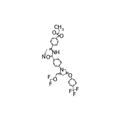 CCS(=O)(=O)c1ccc([C@@H](CC#N)NC(=O)c2ccc(N3C[C@H](Oc4ccc(C(F)(F)F)cc4)C[C@H]3COC(F)F)cc2)cc1